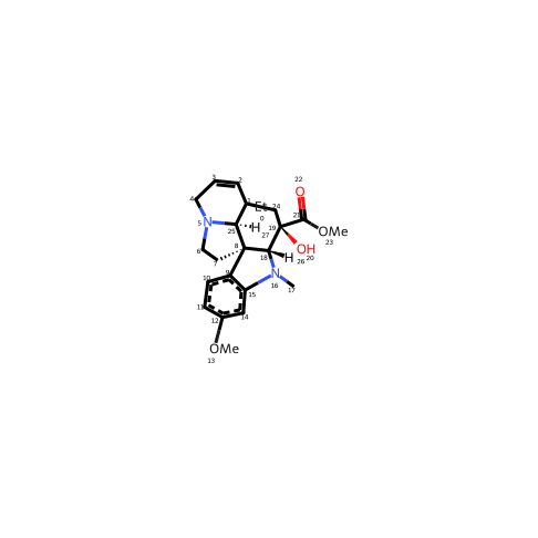 CC[C@]12C=CCN3CC[C@]4(c5ccc(OC)cc5N(C)[C@H]4[C@@](O)(C(=O)OC)C1)[C@@H]32